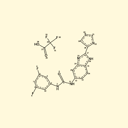 O=C(Nc1cc(F)cc(F)c1)Nc1ccc2[nH]c(-c3cscn3)nc2c1.O=C(O)C(F)(F)F